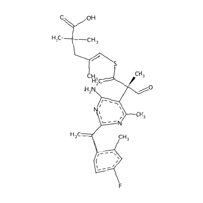 C=C(c1nc(C)c([C@@](C)(C=O)C(=C)S/C=C(\C)CC(C)(C)C(=O)O)c(N)n1)c1ccc(F)cc1C